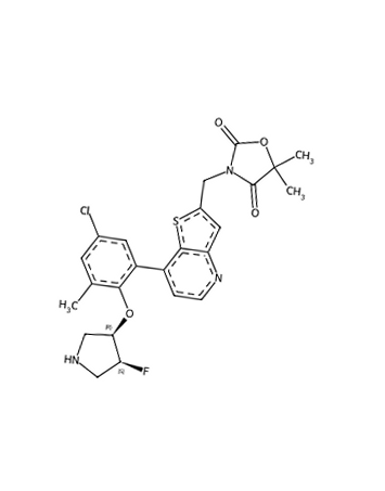 Cc1cc(Cl)cc(-c2ccnc3cc(CN4C(=O)OC(C)(C)C4=O)sc23)c1O[C@@H]1CNC[C@@H]1F